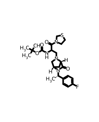 C[C@@H](c1ccc(F)cc1)N1C(=O)[C@@H]2C[C@H]1CN2CC(NC(=O)OC(C)(C)C)C(=O)N1CCSC1